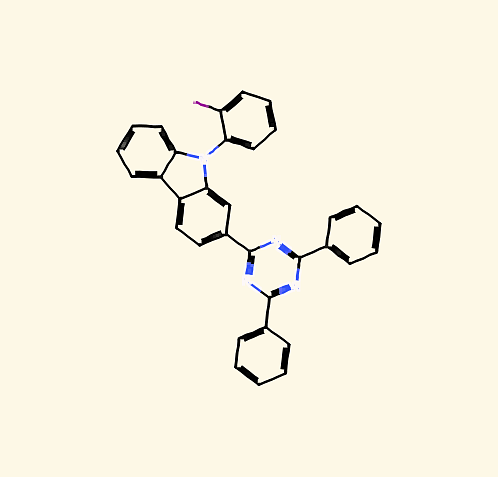 Ic1ccccc1-n1c2ccccc2c2ccc(-c3nc(-c4ccccc4)nc(-c4ccccc4)n3)cc21